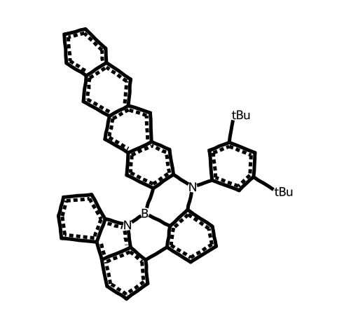 CC(C)(C)c1cc(N2c3cc4cc5cc6ccccc6cc5cc4cc3B3c4c(cccc42)-c2cccc4c5ccccc5n3c24)cc(C(C)(C)C)c1